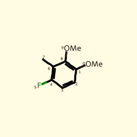 COc1ccc(F)c(C)c1OC